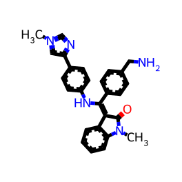 CN1C(=O)C(=C(Nc2ccc(-c3cn(C)cn3)cc2)c2ccc(CN)cc2)c2ccccc21